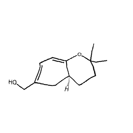 CC1(C)CC[C@H]2CC(CO)=CC=C2O1